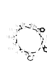 CC[C@H](C)[C@H]1C(=O)N[C@H](C(=O)N2CCCCC2)CSCC(=O)N(C)[C@@H](Cc2ccccc2)C(=O)N(C)[C@@H](C)C(=O)N(C)[C@@H](Cc2ccccc2)C(=O)N(C)[C@@H](CC(C)C)C(=O)N[C@@H]([C@@H](C)O)C(=O)N(C)CC(=O)N(C)[C@@H](CC(C)C)C(=O)N[C@@H](COC(C)(C)C)C(=O)N1C